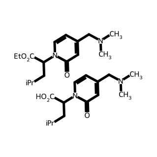 CC(C)CC(C(=O)O)n1ccc(CN(C)C)cc1=O.CCOC(=O)C(CC(C)C)n1ccc(CN(C)C)cc1=O